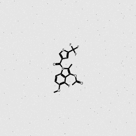 COc1ccc2c(c1F)c(OC(C)=O)c(C)n2C(=O)c1csc(C(F)(F)F)c1